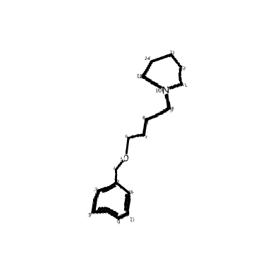 c1ccc(COCCCCN2CCCCC2)cc1